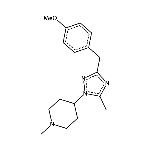 COc1ccc(Cc2nc(C)n(C3CCN(C)CC3)n2)cc1